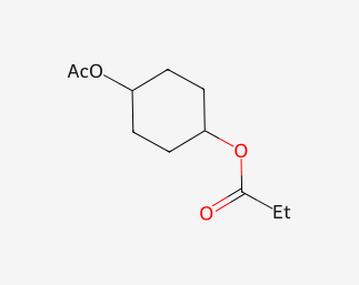 CCC(=O)OC1CCC(OC(C)=O)CC1